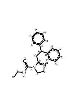 CCOC(=O)N1CCN=C1CC(c1ccccc1)c1ccccc1